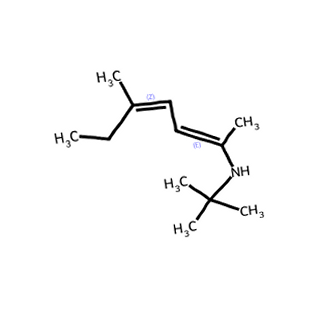 CC/C(C)=C\C=C(/C)NC(C)(C)C